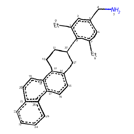 CCc1cc(CN)cc(CC)c1C1CCc2c(ccc3c2ccc2ccccc23)C1